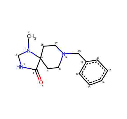 CN1CNC(=O)C12CCN(Cc1ccccc1)CC2